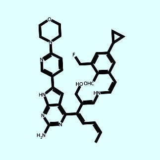 C\C=C/C=C(\C(=C\N/C=C\c1cc(C2CC2)cc(CF)c1C=O)CO)c1nc(N)nc2[nH]c(-c3ccc(N4CCOCC4)nc3)cc12